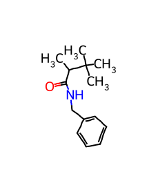 CC(C(=O)NCc1ccccc1)C(C)(C)C